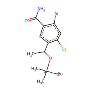 CC(O[Si](C)(C)C(C)(C)C)c1cc(C(N)=O)c(Br)cc1Cl